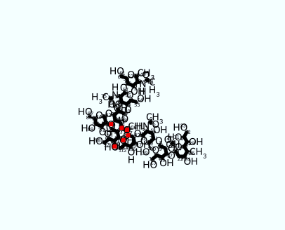 CC(=O)NC1C(O)[C@H](O[C@@H]2OC(CO)[C@H](O)[C@H](O[C@]3(OC=O)C[C@@H](O)[C@@H](C)C([C@H](O)[C@H](O)CO)O3)C2O)[C@H](CO)O[C@H]1OC1[C@@H](OCC2O[C@@H](O[C@@H]3C(CO)O[C@@H](O[C@@H]4C(CO)O[C@@H](C)C(NC(C)=O)[C@H]4O)C(NC(C)=O)[C@H]3O)C(O)[C@@H](O[C@H]3O[C@H](CO)[C@@H](O)C(O)C3O[C@@H]3OC(CO)[C@@H](O)[C@H](O)C3NC(C)=O)[C@@H]2O)OC(CO)[C@@H](O)[C@@H]1O